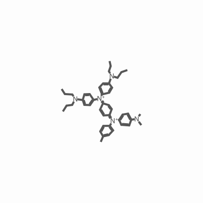 CCCN(CCC)c1ccc([N+](=C2C=CC(=[N+](c3ccc(C)cc3)c3ccc(N(C)C)cc3)C=C2)c2ccc(N(CCC)CCC)cc2)cc1